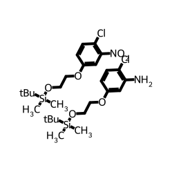 CC(C)(C)[Si](C)(C)OCCOc1ccc(Cl)c(N)c1.CC(C)(C)[Si](C)(C)OCCOc1ccc(Cl)c([N+](=O)[O-])c1